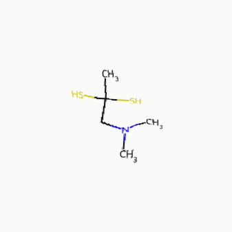 CN(C)CC(C)(S)S